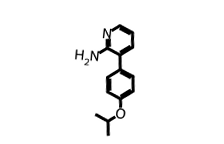 CC(C)Oc1ccc(-c2cccnc2N)cc1